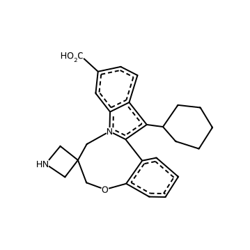 O=C(O)c1ccc2c(C3CCCCC3)c3n(c2c1)CC1(CNC1)COc1ccccc1-3